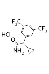 Cl.NC(=O)C(c1cc(C(F)(F)F)cc(C(F)(F)F)c1)C1CC1